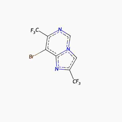 FC(F)(F)c1cn2cnc(C(F)(F)F)c(Br)c2n1